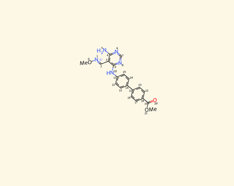 CO/N=C/c1c(N)ncnc1Nc1ccc(-c2ccc(C(=O)OC)cc2)cc1